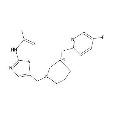 CC(=O)Nc1ncc(CN2CCC[C@@H](Cc3ccc(F)cn3)C2)s1